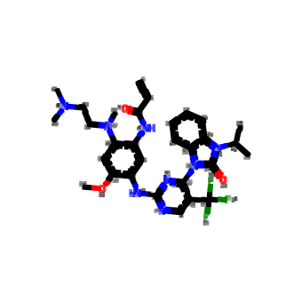 C=CC(=O)Nc1cc(Nc2ncc(C(F)(F)F)c(-n3c(=O)n(C(C)C)c4ccccc43)n2)c(OC)cc1N(C)CCN(C)C